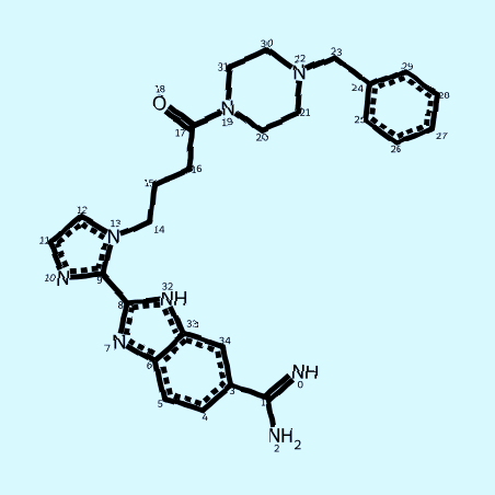 N=C(N)c1ccc2nc(-c3nccn3CCCC(=O)N3CCN(Cc4ccccc4)CC3)[nH]c2c1